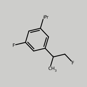 C[C](CF)c1cc(F)cc(C(C)C)c1